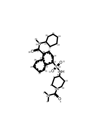 CN(C)C(=O)N1CCC(NS(=O)(=O)c2ccc(C(=O)N(C)C3CCCCC3)c3ccccc23)CC1